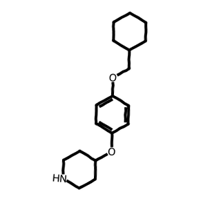 c1cc(OC2CCNCC2)ccc1OCC1CCCCC1